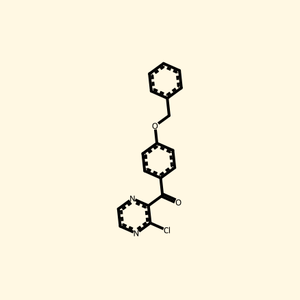 O=C(c1ccc(OCc2ccccc2)cc1)c1nccnc1Cl